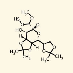 COC(OS)[P@]1(=O)O[C@H]([C@H]2COC(C)(C)O2)[C@@H]2OC(C)(C)O[C@@H]2[C@@H]1O